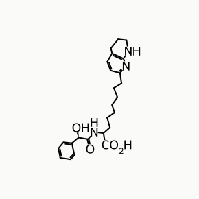 O=C(O)C(CCCCCCCc1ccc2c(n1)NCCC2)NC(=O)[C@H](O)c1ccccc1